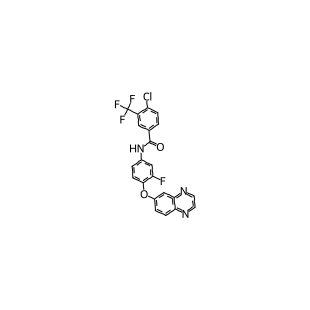 O=C(Nc1ccc(Oc2ccc3nccnc3c2)c(F)c1)c1ccc(Cl)c(C(F)(F)F)c1